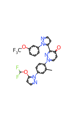 Cc1cc(-n2nccc2OC(F)F)ccc1-n1ccc(=O)c(-c2ccnn2-c2cccc(OC(F)(F)F)c2)n1